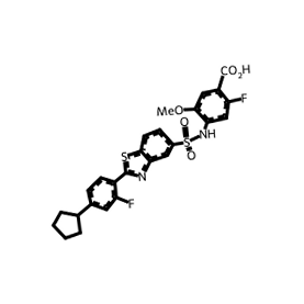 COc1cc(C(=O)O)c(F)cc1NS(=O)(=O)c1ccc2sc(-c3ccc(C4CCCC4)cc3F)nc2c1